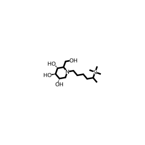 CC(CCCCN1C[C@H](O)[C@@H](O)[C@H](O)C1CO)[Si](C)(C)C